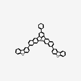 C1=CC(c2cc3c4cc5ccc(-c6ccc7oc8ccccc8c7c6)cc5cc4n4c5cc6cc(-c7ccc8oc9ccccc9c8c7)ccc6cc5c(c2)c34)=CCC1